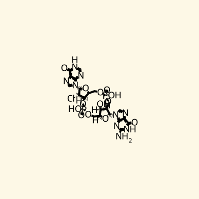 Nc1nc2c(ncn2[C@@H]2O[C@@H]3COP(=O)(O)O[C@@H]4C(COP(=O)(O)O[C@@H]2[C@@H]3O)O[C@@H](n2cnc3c(=O)[nH]cnc32)[C@H]4Cl)c(=O)[nH]1